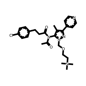 CC(=O)N(C(=O)CCc1ccc(Cl)cc1)c1c(C)c(-c2ccncc2)nn1COCC[Si](C)(C)C